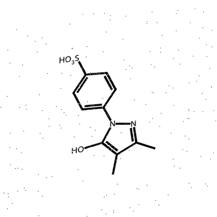 Cc1nn(-c2ccc(S(=O)(=O)O)cc2)c(O)c1C